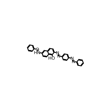 Oc1c(N=Nc2ccc(N=Nc3ccccc3)cc2)ccc2cc(NOc3ccccc3)ccc12